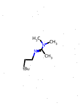 C/C(=N\CCC(C)(C)C)N(C)C